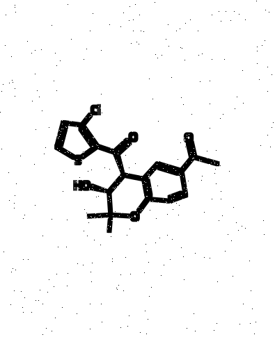 CC(=O)c1ccc2c(c1)[C@H](C(=O)c1sccc1Cl)[C@H](O)C(C)(C)O2